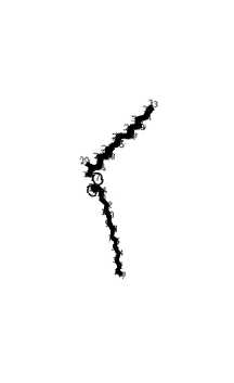 CCCCCCCCCCCCCCCC(=O)OCC(C)CCCCCCCCCCCCC